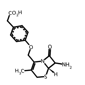 CC1=C(COc2ccc(CC(=O)O)cc2)N2C(=O)C(N)[C@@H]2SC1